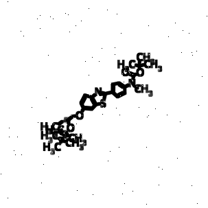 CC[C@H](COc1ccc2nc(-c3ccc(N(C)C(=O)OC(C)(C)C)cc3)sc2c1)O[Si](C)(C)C(C)(C)C